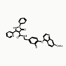 COc1ccc2c(Oc3ccc(CNC(=O)c4c(-c5ccccn5)[nH]n(-c5ccccc5)c4=O)cc3F)ccnc2c1